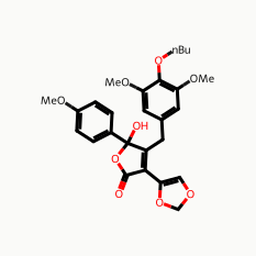 CCCCOc1c(OC)cc(CC2=C(C3=COCO3)C(=O)OC2(O)c2ccc(OC)cc2)cc1OC